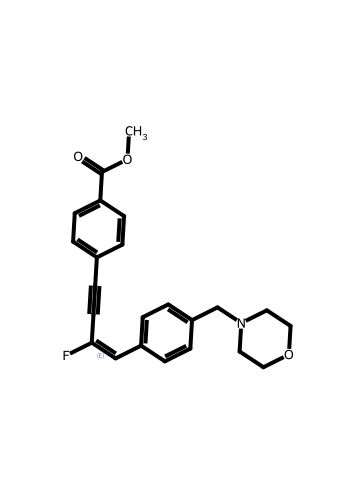 COC(=O)c1ccc(C#C/C(F)=C\c2ccc(CN3CCOCC3)cc2)cc1